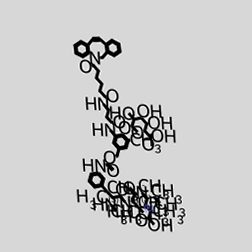 CN[C@H](C(=O)N[C@H](C(=O)N(C)[C@H](/C=C(\C)C(=O)O)C(C)C)C(C)(C)C)C(C)(C)c1cccc(NC(=O)OCc2cc(C)c(OC3OC(C(=O)O)C(O)C(O)C3O)c(NC(=O)CCNC(=O)CCCCC(=O)N3Cc4ccccc4C#Cc4ccccc43)c2)c1